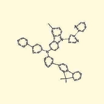 Cc1ccc2c(c1)c1cc(N(c3ccc(-c4ccccc4)cc3)c3cccc(-c4ccc5c(c4)C(C)(C)c4ccccc4-5)c3)ccc1n2-c1ccnc(-c2ccccn2)c1